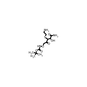 CC(C)(C)OC(=O)NOCC(=O)C(SCCN)C(O)C(N)=O